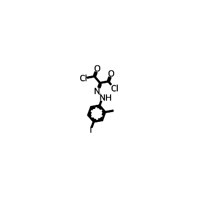 Cc1cc(I)ccc1NN=C(C(=O)Cl)C(=O)Cl